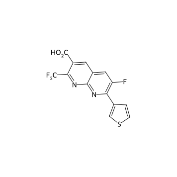 O=C(O)c1cc2cc(F)c(-c3ccsc3)nc2nc1C(F)(F)F